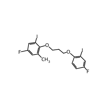 Cc1cc(F)cc(I)c1OCCCOc1ccc(F)cc1I